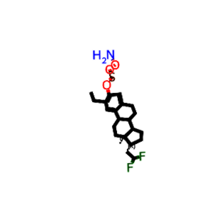 CCc1cc2c(cc1OSOON)CCC1C2CC[C@@]2(C)C1CC[C@@H]2CC(F)F